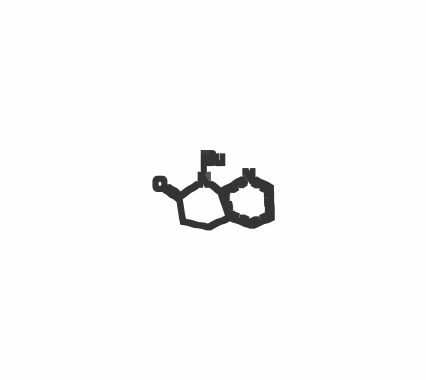 CCC(C)N1C(=O)CCc2cccnc21